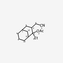 CCC1(OC(C)=O)C(CC#N)CC2CCCC1C2